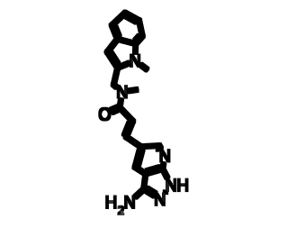 CN(Cc1cc2ccccc2n1C)C(=O)/C=C/c1cnc2[nH]nc(N)c2c1